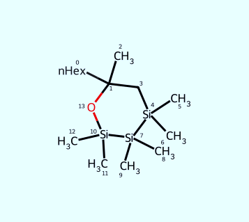 CCCCCCC1(C)C[Si](C)(C)[Si](C)(C)[Si](C)(C)O1